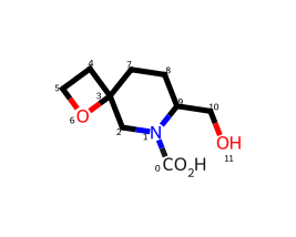 O=C(O)N1CC2(CCO2)CCC1CO